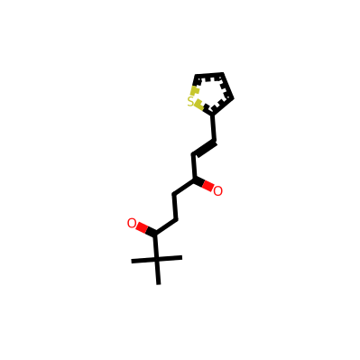 CC(C)(C)C(=O)CCC(=O)/C=C/c1cccs1